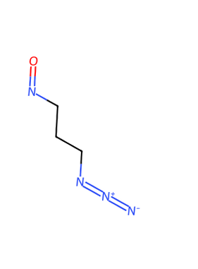 [N-]=[N+]=NCCCN=O